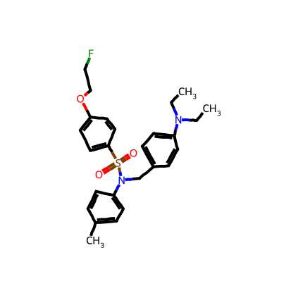 CCN(CC)c1ccc(CN(c2ccc(C)cc2)S(=O)(=O)c2ccc(OCCF)cc2)cc1